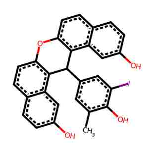 Cc1cc(C2c3c(ccc4ccc(O)cc34)Oc3ccc4ccc(O)cc4c32)cc(I)c1O